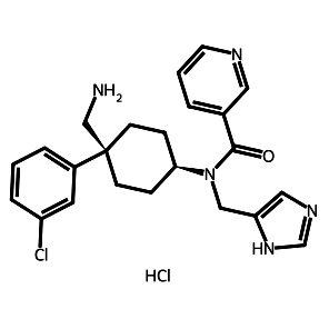 Cl.NC[C@]1(c2cccc(Cl)c2)CC[C@H](N(Cc2cnc[nH]2)C(=O)c2cccnc2)CC1